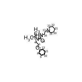 CC(C)N(CCOc1ccccc1)C(=O)NCCN1CCCCC1